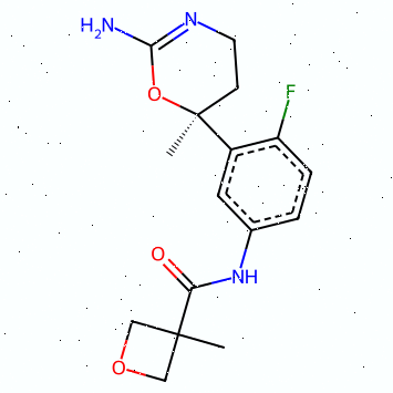 CC1(C(=O)Nc2ccc(F)c([C@]3(C)CCN=C(N)O3)c2)COC1